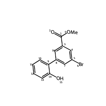 COC(=O)c1cc(Br)cc(-c2ccccc2O)c1